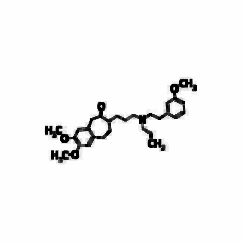 C=CCN(CCCC1CCc2cc(OC)c(OC)cc2CC1=O)CCc1cccc(OC)c1